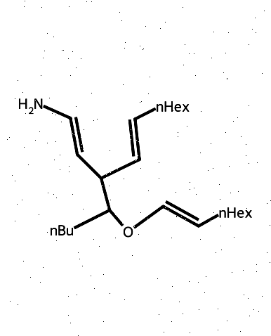 CCCCCCC=COC(CCCC)C(C=CN)C=CCCCCCC